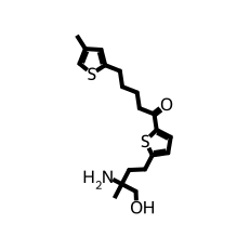 Cc1csc(CCCCC(=O)c2ccc(CCC(C)(N)CO)s2)c1